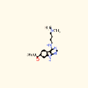 COC(=O)c1ccc2c(c1)[nH]c1ncnc(NCCCCN(C)C)c12